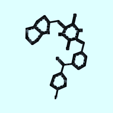 O=C(c1ccc(F)cc1)c1cccc(C=c2[nH]c(=O)c(=Cc3ccc4ccccc4n3)[nH]c2=O)c1